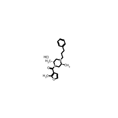 Cc1occc1C(=O)N1C[C@H](C)N(CCCc2ccccc2)C[C@H]1C.Cl